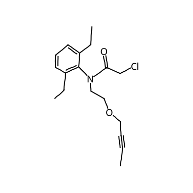 CC#CCOCCN(C(=O)CCl)c1c(CC)cccc1CC